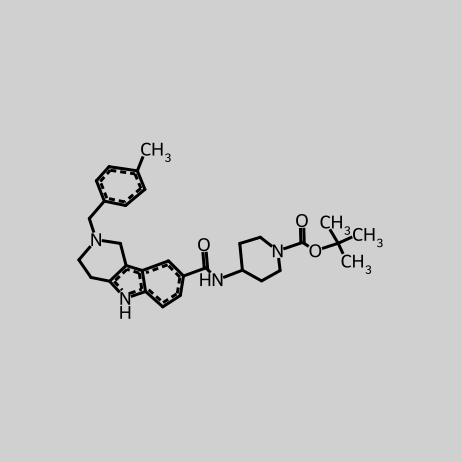 Cc1ccc(CN2CCc3[nH]c4ccc(C(=O)NC5CCN(C(=O)OC(C)(C)C)CC5)cc4c3C2)cc1